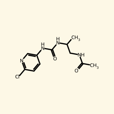 CC(=O)NCC(C)NC(=O)Nc1ccc(Cl)nc1